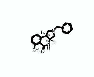 Cc1cccc2c1C(=O)N[C@H]1CN(Cc3ccccc3)C[C@H]21